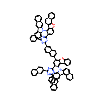 c1ccc(-c2nc(-c3ccc4cc(-c5cc(-c6nc(-c7ccc8ccccc8c7)nc(-c7ccc8ccccc8c7)n6)c(-n6c7cc8ccccc8cc7c7c8ccccc8ccc76)c6c5oc5ccccc56)ccc4c3)nc(-c3ccc4oc5c6ccccc6ccc5c4c3-n3c4ccccc4c4cc5ccccc5cc43)n2)cc1